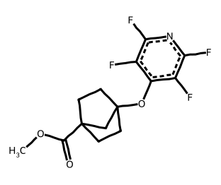 COC(=O)C12CCC(Oc3c(F)c(F)nc(F)c3F)(CC1)C2